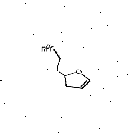 CCCCCC1CC=CO1